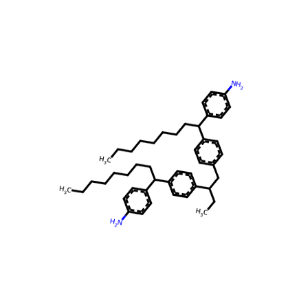 CCCCCCCCC(c1ccc(N)cc1)c1ccc(CC(CC)c2ccc(C(CCCCCCCC)c3ccc(N)cc3)cc2)cc1